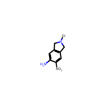 CCN1Cc2cc(N)c([N+](=O)[O-])cc2C1